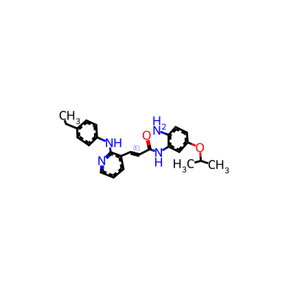 CCc1ccc(Nc2ncccc2/C=C/C(=O)Nc2cc(OC(C)C)ccc2N)cc1